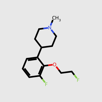 CN1CCC(c2cccc(F)c2OCCF)CC1